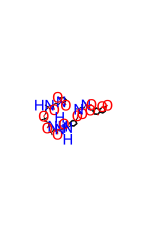 CC(C)C(NC(=O)CCC(C)(C)OCCC(C)(C)NC(=O)CCN1C(=O)C=CC1=O)C(=O)NCC(=O)Nc1ccc(COC(=O)N(C)CCN(C)C(=O)Oc2ccc3ccc(=O)oc3c2)cc1